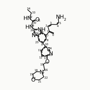 C=C(/C=C\C=C/N)c1cc(-c2ccc(OCCN3CCOCC3)nc2)cc2nc(NC(=O)NCC)[nH]c12